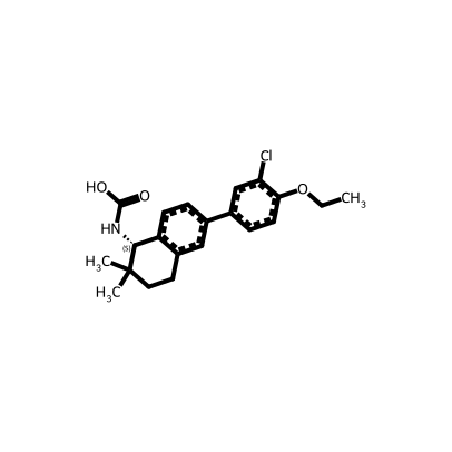 CCOc1ccc(-c2ccc3c(c2)CCC(C)(C)[C@@H]3NC(=O)O)cc1Cl